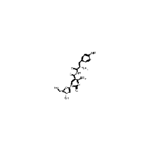 Nc1nc(=O)n([C@H]2C[C@H](O)[C@@H](CO)O2)cc1C(=O)NC(=O)[C@@H](N)Cc1ccc(O)cc1